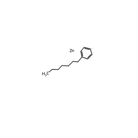 CCCCCCCc1cc[c]cc1.[Zn]